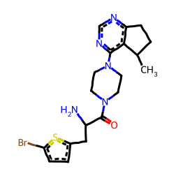 CC1CCc2ncnc(N3CCN(C(=O)C(N)Cc4ccc(Br)s4)CC3)c21